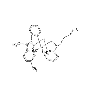 C=CCCC1=CC2(CC3(c4ccccc4-c4c3c3cc(C)ccc3n4C)[Si]2(C)C)c2ccccc21